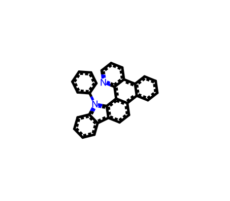 c1ccc(-n2c3ccccc3c3ccc4c5ccccc5c5cccnc5c4c32)cc1